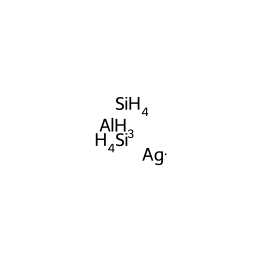 [Ag].[AlH3].[SiH4].[SiH4]